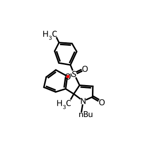 CCCCN1C(=O)C=C(S(=O)(=O)c2ccc(C)cc2)C1(C)c1ccccc1